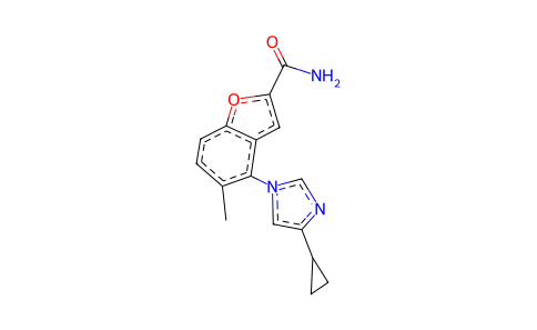 Cc1ccc2oc(C(N)=O)cc2c1-n1cnc(C2CC2)c1